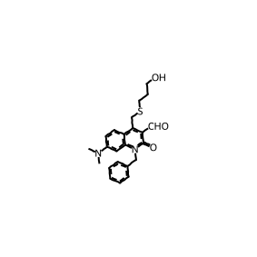 CN(C)c1ccc2c(CSCCCO)c(C=O)c(=O)n(Cc3ccccc3)c2c1